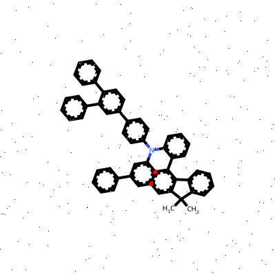 CC1(C)c2ccccc2-c2c(-c3ccccc3N(c3ccc(-c4ccc(-c5ccccc5)c(-c5ccccc5)c4)cc3)c3cccc(-c4ccccc4)c3)cccc21